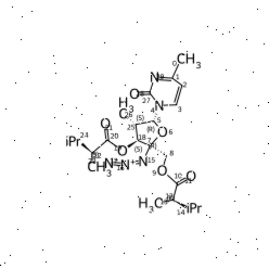 Cc1ccn([C@@H]2O[C@@](COC(=O)[C@H](C)C(C)C)(N=[N+]=[N-])[C@@H](OC(=O)[C@@H](C)C(C)C)[C@@H]2C)c(=O)n1